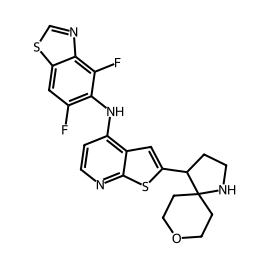 Fc1cc2scnc2c(F)c1Nc1ccnc2sc(C3CCNC34CCOCC4)cc12